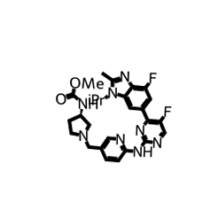 COC(=O)N[C@@H]1CCN(Cc2ccc(Nc3ncc(F)c(-c4cc(F)c5nc(C)n(C(C)C)c5c4)n3)nc2)C1